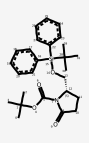 CC(C)(C)OC(=O)N1C(=O)CC[C@H]1CO[Si](c1ccccc1)(c1ccccc1)C(C)(C)C